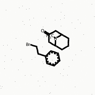 BrCCc1ccccc1.CN1C2CCCC1CC(=O)C2